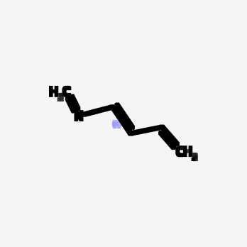 C=C/C=C/N=C